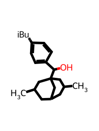 CCC(C)c1ccc(C(O)C23CC(C)CC(CC(C)C2)C3)cc1